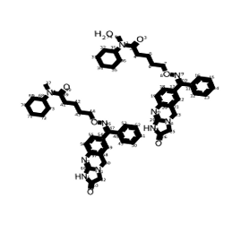 CN(C(=O)CCCCO/N=C(/c1ccccc1)c1ccc2c(c1)CN1CC(=O)NC1=N2)C1CCCCC1.CN(C(=O)CCCCO/N=C(/c1ccccc1)c1ccc2c(c1)CN1CC(=O)NC1=N2)C1CCCCC1.O